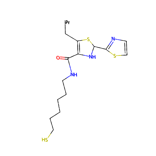 CC(C)CC1=C(C(=O)NCCCCCCS)NC(c2nccs2)S1